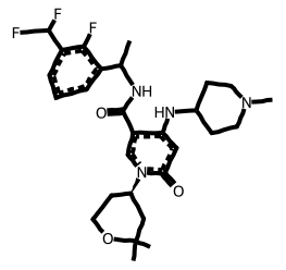 CC(NC(=O)c1cn([C@@H]2CCOC(C)(C)C2)c(=O)cc1NC1CCN(C)CC1)c1cccc(C(F)F)c1F